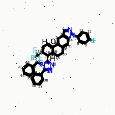 C[C@]12Cc3cnn(-c4ccc(F)cc4)c3C=C1CC[C@H]1C2=CC[C@@H](C(F)(F)F)[C@@H]1c1nnc(-c2ccccc2)n1Cc1ccccc1